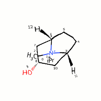 CC(C)[N@@+]1(C)[C@@H]2CC[C@H]1C[C@@H](O)C2